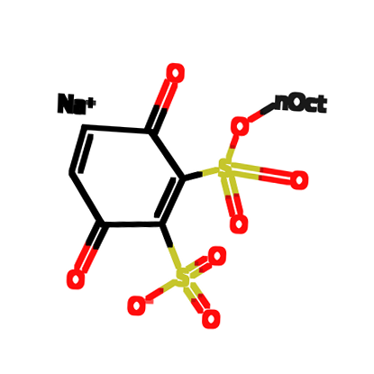 CCCCCCCCOS(=O)(=O)C1=C(S(=O)(=O)[O-])C(=O)C=CC1=O.[Na+]